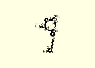 NC(=O)CC1NC(=O)CCSc2[nH]c3cc(OCCCCCCN4C(=O)CC(S)C4=O)ccc3c2CNC(=O)[C@H](CC(O)CO)CCC2CCCN2C1=O